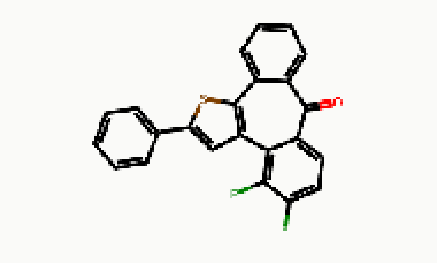 O=c1c2ccccc2c2sc(-c3ccccc3)cc2c2c(F)c(F)ccc12